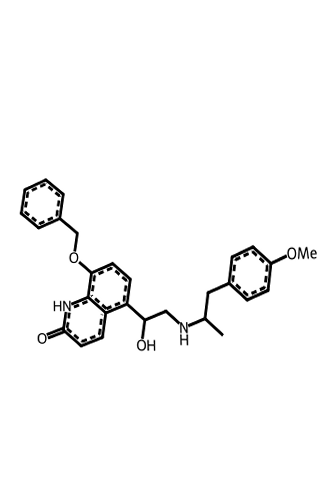 COc1ccc(CC(C)NCC(O)c2ccc(OCc3ccccc3)c3[nH]c(=O)ccc23)cc1